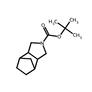 CC(C)(C)OC(=O)N1CC2C3CCC(C3)C2C1